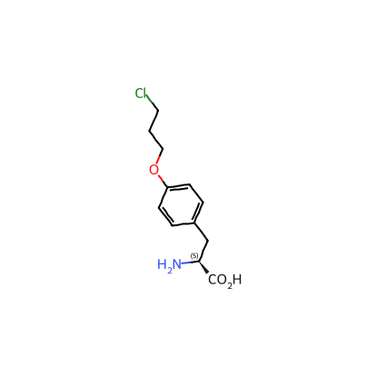 N[C@@H](Cc1ccc(OCCCCl)cc1)C(=O)O